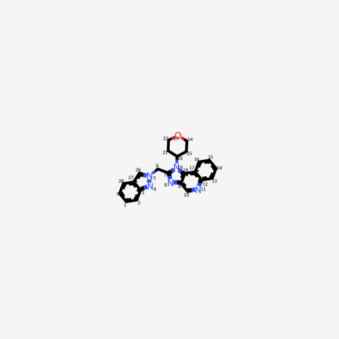 c1ccc2nn(Cc3nc4cnc5ccccc5c4n3C3CCOCC3)cc2c1